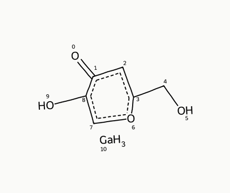 O=c1cc(CO)occ1O.[GaH3]